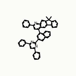 CC1(C)c2ccccc2-c2cc3c(-c4cc(-c5nc(-c6ccccc6)cc(-c6ccccc6)n5)cc5ccccc45)cc(-c4ccccc4)nc3cc21